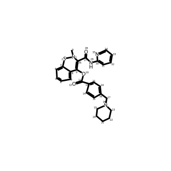 CN1Sc2ccccc2C(OC(=O)c2ccc(CN3CCCCC3)cc2)=C1C(=O)Nc1ccccn1